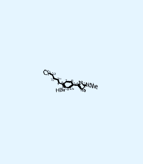 Br.CNc1nc(-c2ccc(CCCCCl)cc2)cs1